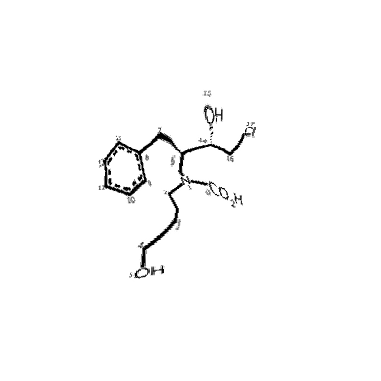 O=C(O)N(CCCO)[C@@H](Cc1ccccc1)[C@H](O)CCl